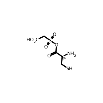 N[C@@H](CS)C(=O)OS(=O)(=O)CC(=O)O